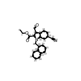 CCOC(=O)c1c(C=O)c2ccc(C#N)cc2n1Cc1cccc2ccccc12